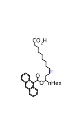 CCCCCCC(C/C=C\CCCCCCCC(=O)O)OC(=O)c1c2ccccc2cc2ccccc12